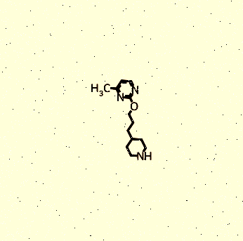 Cc1ccnc(OCCCC2CCNCC2)n1